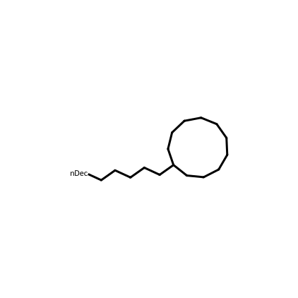 CCCCCCCCCCCCCCCC1CCCCCCCCCC1